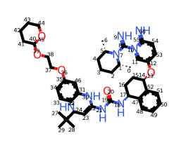 C[C@@H]1CCC[C@H](C)N1C(=N)n1cc(O[C@@H]2CC[C@H](NC(=O)N/C(=C/C(=N)C(C)(C)C)Nc3cccc(OCCOC4CCCCO4)c3)c3ccccc32)ccc1=N